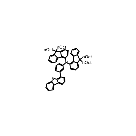 CCCCCCCCC1(CCCCCCCC)c2ccccc2-c2c(N(c3cccc(-c4cccc5c4sc4ccccc45)c3)c3cccc4c3-c3ccccc3C4(CCCCCCCC)CCCCCCCC)cccc21